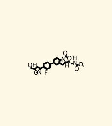 COC(=O)NC[C@@H]1OC(=O)N2c3ccc(-c4ccc(C5=NOC(CO)C5)c(F)c4)cc3C[C@@H]12